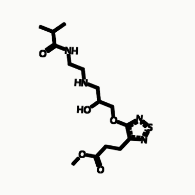 COC(=O)CCc1nsnc1OCC(O)CNCCNC(=O)C(C)C